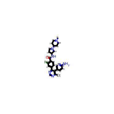 CCc1ncnc(-c2ccc(C(=O)NC3CCN(C4CCN(C)CC4)C3)c(F)c2)c1-c1ccc(N)nc1